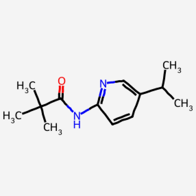 CC(C)c1ccc(NC(=O)C(C)(C)C)nc1